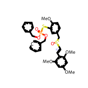 COc1cc(OC)c(/C=C/[S+]([O-])Cc2ccc(OC)c(SP(=O)(OCc3ccccc3)OCc3ccccc3)c2)c(OC)c1